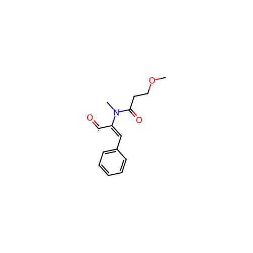 COCCC(=O)N(C)C([C]=O)=Cc1ccccc1